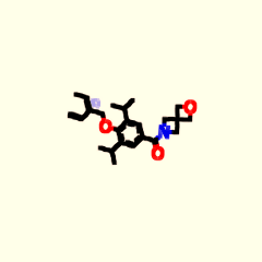 C=C/C(=C\C)COc1c(C(C)C)cc(C(=O)N2CC3(COC3)C2)cc1C(C)C